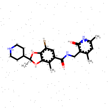 Cc1cc(C)c(CNC(=O)c2cc(Br)c3c(c2C)O[C@@](C)(C2CCNCC2)O3)c(=O)[nH]1